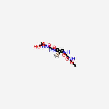 [2H]SCC1c2cc(NC(=O)CCCC(=O)NCCOCCCC)ccc2-c2ccc(NC(=O)CCCC(=O)NCCOC(C)CCO)cc21